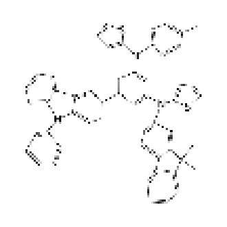 Cc1ccc(N(c2cc(-c3ccc4c(c3)c3ccccc3n4-c3ccccc3)cc(N(c3ccc4c(c3)C(C)(C)c3ccccc3-4)c3cccs3)c2)c2cccs2)cc1